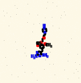 COc1cc(Cc2cnc(N)nc2N)cc(OC)c1OCCOCCN1CCNCC1